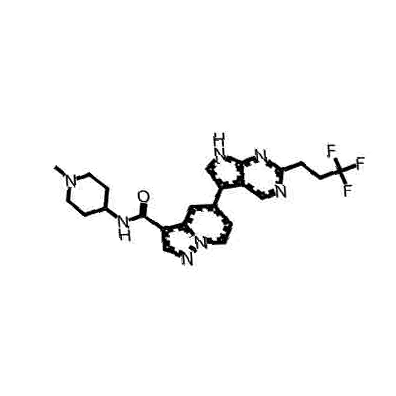 CN1CCC(NC(=O)c2cnn3ccc(-c4c[nH]c5nc(CCC(F)(F)F)ncc45)cc23)CC1